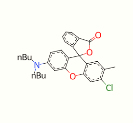 CCCCN(CCCC)c1ccc2c(c1)Oc1cc(Cl)c(C)cc1C21OC(=O)c2ccccc21